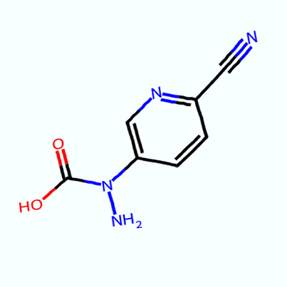 N#Cc1ccc(N(N)C(=O)O)cn1